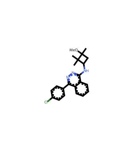 COC1(C)CC(Nc2nnc(-c3ccc(Cl)cc3)c3ccccc23)C1(C)C